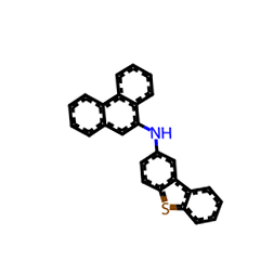 c1ccc2c(c1)cc(Nc1ccc3sc4ccccc4c3c1)c1ccccc12